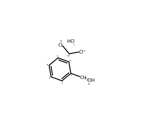 Cc1ccccc1.Cl.Cl.ClCCl